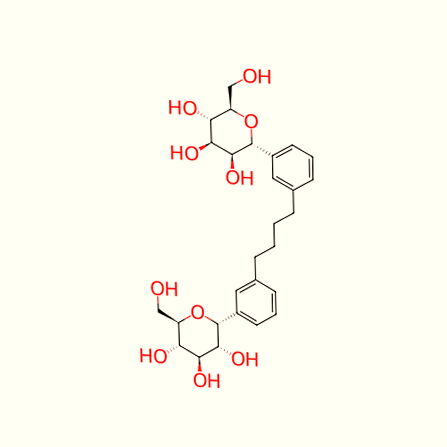 OC[C@H]1O[C@H](c2cccc(CCCCc3cccc([C@H]4O[C@H](CO)[C@@H](O)[C@H](O)[C@@H]4O)c3)c2)[C@H](O)[C@@H](O)[C@@H]1O